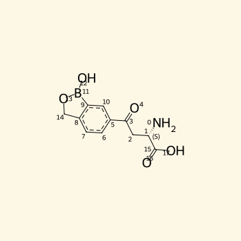 N[C@@H](CC(=O)c1ccc2c(c1)B(O)OC2)C(=O)O